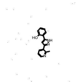 Cc1ncccc1-c1cc(-c2ccccc2O)[nH]n1